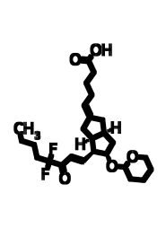 CCCCC(F)(F)C(=O)C=C[C@H]1[C@H]2CC(=CCCCC(=O)O)C[C@H]2C[C@H]1OC1CCCCO1